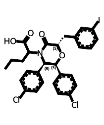 CCCC(C(=O)O)N1C(=O)[C@H](Cc2cccc(I)c2)O[C@@H](c2ccc(Cl)cc2)[C@H]1c1ccc(Cl)cc1